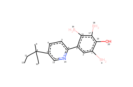 Bc1cc(-c2ccc(C(C)(C)CC)cn2)c(B)c(B)c1O